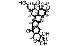 CC[C@]1(O)c2cc3n(c(=O)c2COC1O)Cc1c-3nc2cc3c(cc2c1CN(CCO)CCO)OCO3